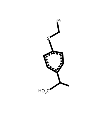 CC(C)CSc1ccc(C(C)C(=O)O)cc1